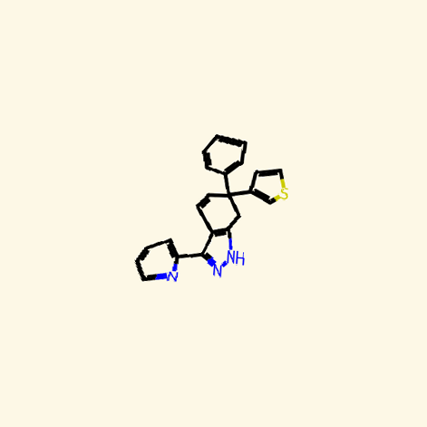 C1=CC(c2ccccc2)(c2ccsc2)Cc2[nH]nc(-c3ccccn3)c21